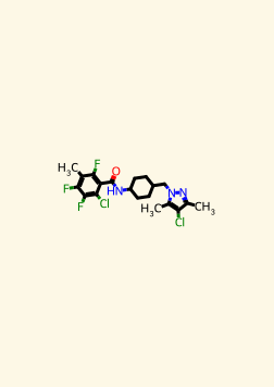 Cc1nn(CC2CCC(NC(=O)c3c(F)c(C)c(F)c(F)c3Cl)CC2)c(C)c1Cl